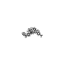 Cc1c(-c2cccc(N3CCc4cc(C5CC5)ccc4C3=O)c2CO)cc(Nc2ccc(C(=O)N3CCOCC3)cn2)[nH]c1=O